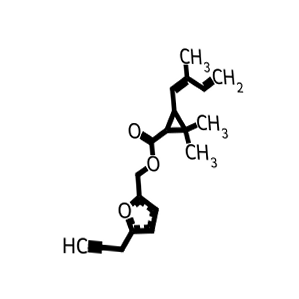 C#CCc1ccc(COC(=O)C2C(C=C(C)C=C)C2(C)C)o1